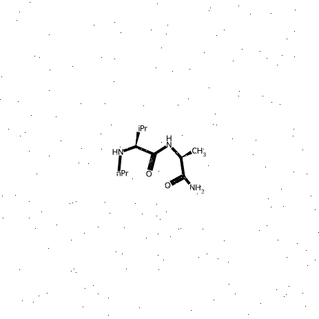 CCCN[C@H](C(=O)N[C@@H](C)C(N)=O)C(C)C